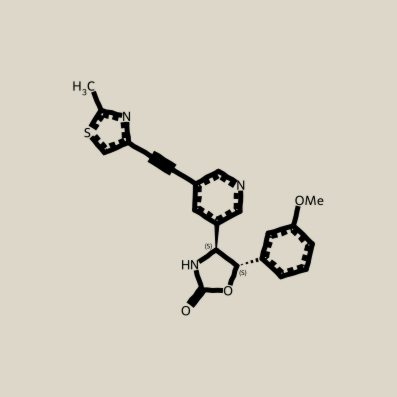 COc1cccc([C@@H]2OC(=O)N[C@H]2c2cncc(C#Cc3csc(C)n3)c2)c1